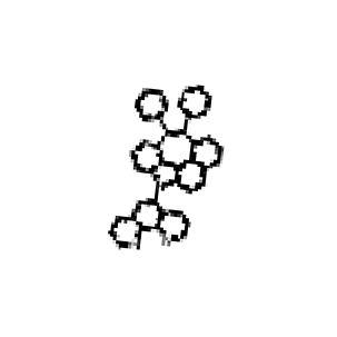 c1ccc(C2=C(c3ccccc3)c3cccc4c3c3c5c2cccc5ccc3n4-c2cc3cccnc3c3ncccc23)cc1